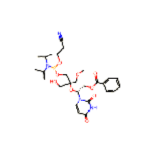 COC[C@@](CO)(COP(OCCC#N)N(C(C)C)C(C)C)O[C@H](COC(=O)c1ccccc1)n1ccc(=O)[nH]c1=O